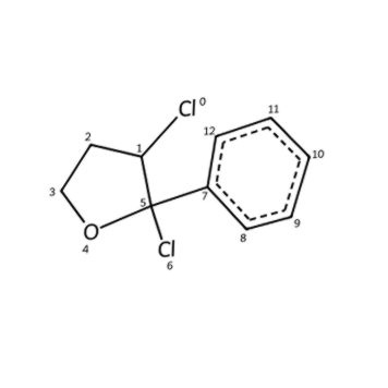 ClC1CCOC1(Cl)c1ccccc1